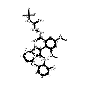 COc1cc(OC)c(-c2nc3ncccn3c2Nc2c(Cl)cccc2Cl)c(C(=O)NNC(=O)OC(C)(C)C)c1